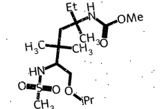 CCC(C)(CC(C)(C)C(COC(C)C)NS(C)(=O)=O)NC(=O)OC